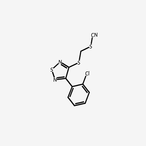 N#CSCSc1nsnc1-c1ccccc1Cl